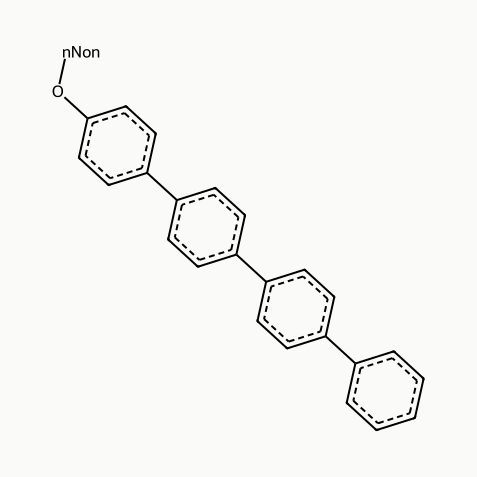 CCCCCCCCCOc1ccc(-c2ccc(-c3ccc(-c4ccccc4)cc3)cc2)cc1